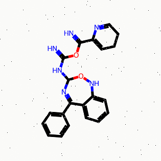 N=C(NC1N=C(c2ccccc2)c2ccccc2NO1)OC(=N)C1=CCCC=N1